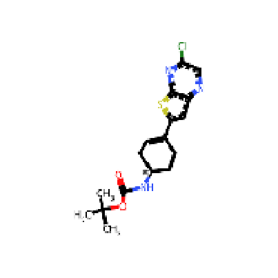 CC(C)(C)OC(=O)N[C@H]1CC=C(c2cc3ncc(Cl)nc3s2)CC1